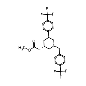 COC(=O)C[C@@H]1C[C@@H](c2ccc(C(F)(F)F)cc2)CN(Cc2ccc(C(F)(F)F)cc2)C1